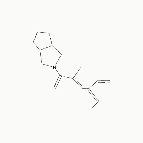 C=CC(=C/C)/C=C(\C)C(=C)N1CC2CCCC2C1